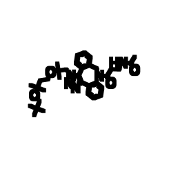 CC(=O)NCCC(=O)N1Cc2ccccc2-c2c(nnn2CC(C)(C)OCCC(C)(C)OCC(C)(C)C)-c2ccccc21